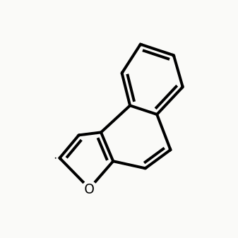 [c]1cc2c(ccc3ccccc32)o1